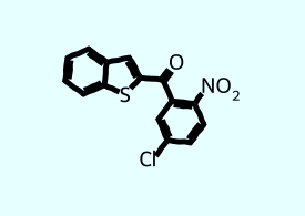 O=C(c1cc2ccccc2s1)c1cc(Cl)ccc1[N+](=O)[O-]